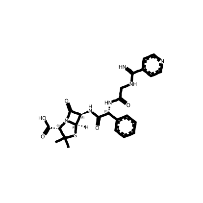 CC1(C)S[C@@H]2[C@H](NC(=O)[C@H](NC(=O)CNC(=N)c3ccncc3)c3ccccc3)C(=O)N2[C@H]1C(=O)O